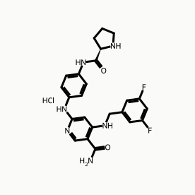 Cl.NC(=O)c1cnc(Nc2ccc(NC(=O)[C@H]3CCCN3)cc2)cc1NCc1cc(F)cc(F)c1